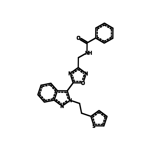 O=C(NCc1noc(-c2c3ccccc3nn2CCc2cccs2)n1)c1ccccc1